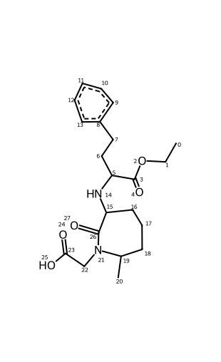 CCOC(=O)C(CCc1ccccc1)NC1CCCC(C)N(CC(=O)O)C1=O